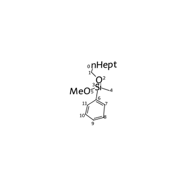 CCCCCCCCO[Si](C)(OC)c1ccccc1